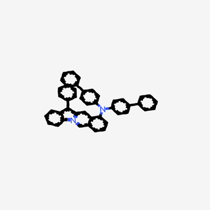 c1ccc(-c2ccc(N(c3ccc(-c4ccccc4)cc3)c3cccc4cn5c(cc34)c(-c3ccccc3)c3ccccc35)cc2)cc1